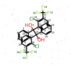 OC(c1ccccc1)(c1cccc(C(F)(F)F)c1Cl)C(O)(c1ccccc1)c1cccc(C(F)(F)F)c1Cl